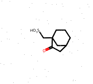 O=C1CC2CCCC1(CS(=O)(=O)O)C2